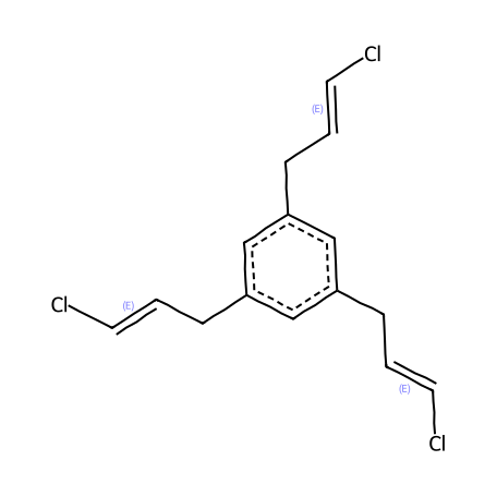 Cl/C=C/Cc1cc(C/C=C/Cl)cc(C/C=C/Cl)c1